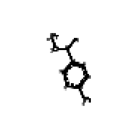 CC(C)OC(C)c1ccc(C(C)C)cc1